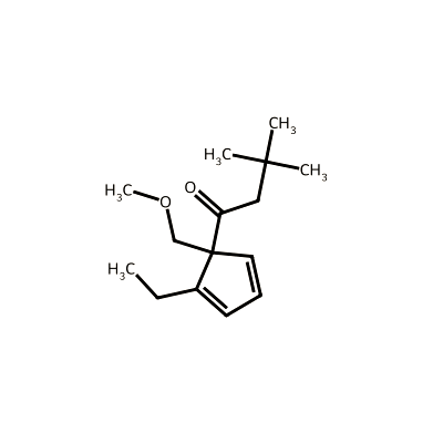 CCC1=CC=CC1(COC)C(=O)CC(C)(C)C